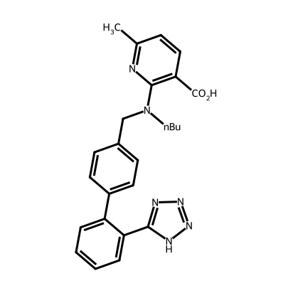 CCCCN(Cc1ccc(-c2ccccc2-c2nnn[nH]2)cc1)c1nc(C)ccc1C(=O)O